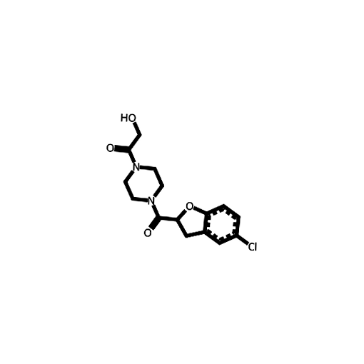 O=C(CO)N1CCN(C(=O)C2Cc3cc(Cl)ccc3O2)CC1